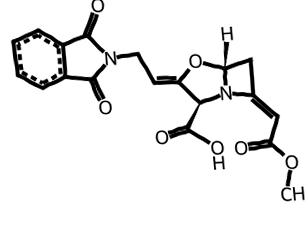 COC(=O)/C=C1/C[C@H]2O/C(=C\CN3C(=O)c4ccccc4C3=O)[C@H](C(=O)O)N12